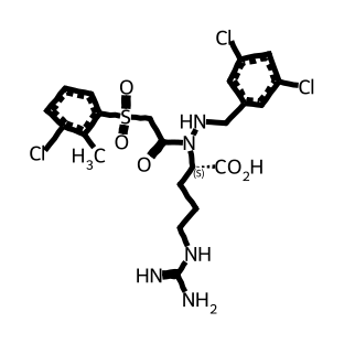 Cc1c(Cl)cccc1S(=O)(=O)CC(=O)N(NCc1cc(Cl)cc(Cl)c1)[C@@H](CCCNC(=N)N)C(=O)O